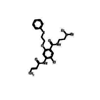 CC=CC(=O)Nc1cc(OCCSc2ccccc2)c(C(=O)NCCN(CC)CC)cc1Cl